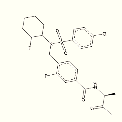 CC(=O)[C@H](C)NC(=O)c1ccc(CN(C2CCCCC2F)S(=O)(=O)c2ccc(Cl)cc2)c(F)c1